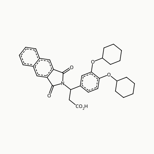 O=C(O)CC(c1ccc(OC2CCCCC2)c(OC2CCCCC2)c1)N1C(=O)c2cc3ccccc3cc2C1=O